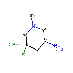 CC(C)N1CC(N)CC(F)(F)C1